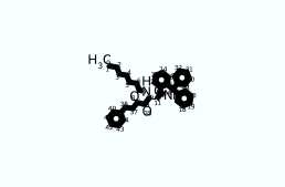 CCCCCCCC(=O)N[C@H](CC(=O)NC(c1ccccc1)(c1ccccc1)c1ccccc1)C(=O)CCCc1ccccc1